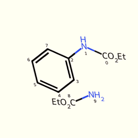 CCOC(=O)Nc1ccccc1.CCOC(N)=O